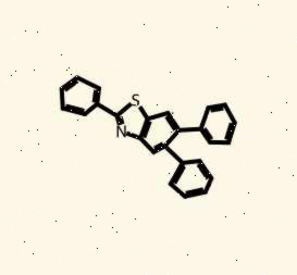 [c]1c(-c2ccccc2)c(-c2ccccc2)cc2nc(-c3ccccc3)sc12